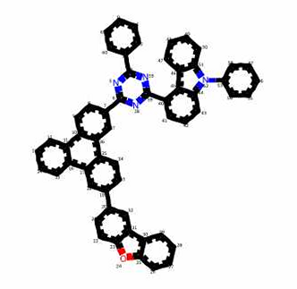 c1ccc(-c2nc(-c3ccc4c5ccccc5c5cc(-c6ccc7oc8ccccc8c7c6)ccc5c4c3)nc(-c3cccc4c3c3ccccc3n4-c3ccccc3)n2)cc1